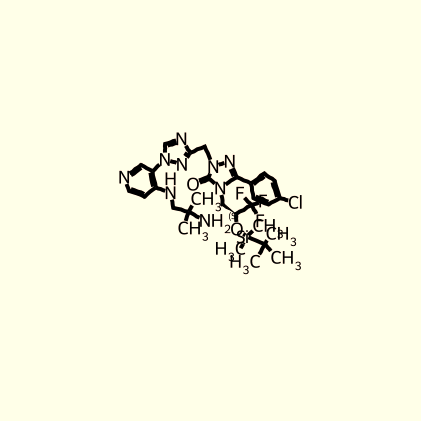 CC(C)(N)CNc1ccncc1-n1cnc(Cn2nc(-c3ccc(Cl)cc3)n(C[C@H](O[Si](C)(C)C(C)(C)C)C(F)(F)F)c2=O)n1